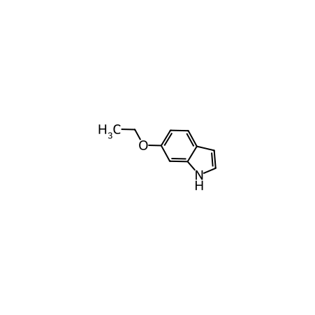 CCOc1ccc2cc[nH]c2c1